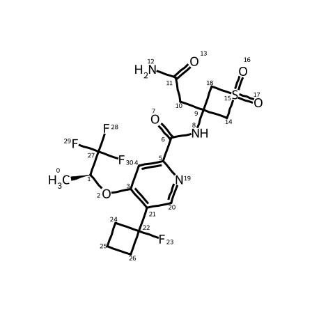 C[C@H](Oc1cc(C(=O)NC2(CC(N)=O)CS(=O)(=O)C2)ncc1C1(F)CCC1)C(F)(F)F